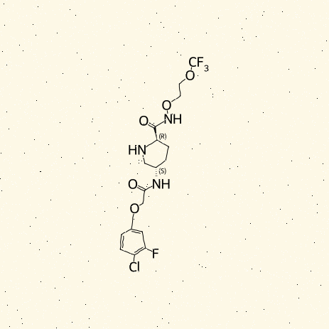 O=C(COc1ccc(Cl)c(F)c1)N[C@H]1CC[C@H](C(=O)NOCCOC(F)(F)F)NC1